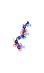 O=C1CCC(N2Cc3cc(CN4CCC(n5cc(NC(=O)c6coc(-c7ccnc(NCC8CC8)c7)n6)c(C(F)F)n5)CC4)c(F)cc3C2=O)C(=O)N1